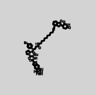 CC(C)(C)[C@H](NC(=O)c1cc2cc(C(F)(F)P(=O)(O)O)ccc2s1)C(=O)N1CCC[C@H]1C(=O)N(CCC(=O)NCCCCCCCCCC#Cc1cccc2c1CN(C1CCC(=O)NC1=O)C2=O)c1ccc(Br)cc1